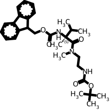 CC(C)[C@](C)(NC(=O)OCC1c2ccccc2-c2ccccc21)C(=O)N(C)CCNC(=O)OC(C)(C)C